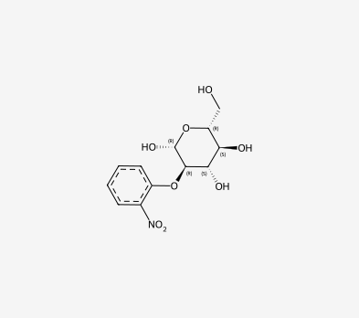 O=[N+]([O-])c1ccccc1O[C@@H]1[C@@H](O)[C@H](O)[C@@H](CO)O[C@H]1O